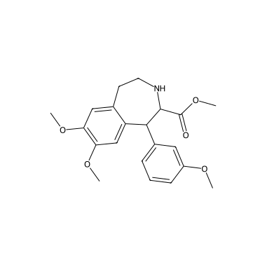 COC(=O)C1NCCc2cc(OC)c(OC)cc2C1c1cccc(OC)c1